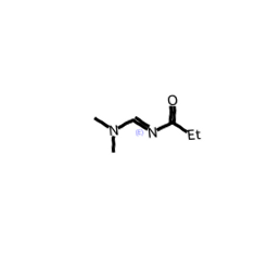 CCC(=O)/N=C/N(C)C